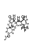 CC(=O)O.CCOC1CCC(C)(N2CCC(Nc3cc(C(F)(F)F)ccc3O)CC2)CC1